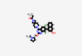 C=CC(=O)N1CC2(CCN(c3nc(OC[C@@H]4CCCN4C)nc4c(F)c(-c5cc(O)cc6ccccc56)c(Cl)cc34)CC2)C1